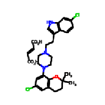 CC1(C)CCc2cc(Cl)cc(N3CCN(CCc4c[nH]c5cc(Cl)ccc45)CC3)c2O1.O=C(O)C=CC(=O)O